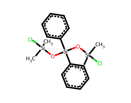 C[Si](C)(Cl)O[Si](O[Si](C)(C)Cl)(c1ccccc1)c1ccccc1